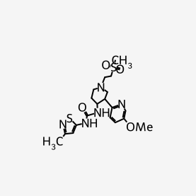 COc1ccc(C2CN(CCS(C)(=O)=O)CCC2NC(=O)Nc2cc(C)ns2)nc1